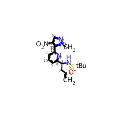 C=CC[C@H](N[S+]([O-])C(C)(C)C)c1cccc(-c2c([N+](=O)[O-])cnn2C)n1